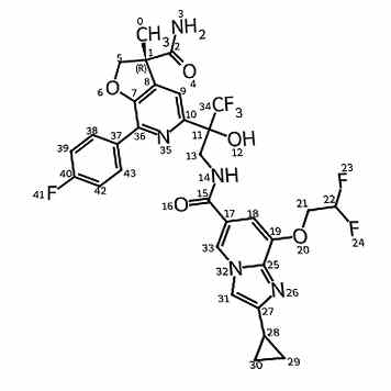 C[C@]1(C(N)=O)COc2c1cc(C(O)(CNC(=O)c1cc(OCC(F)F)c3nc(C4CC4)cn3c1)C(F)(F)F)nc2-c1ccc(F)cc1